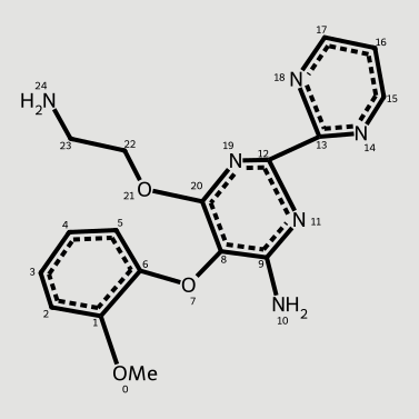 COc1ccccc1Oc1c(N)nc(-c2ncccn2)nc1OCCN